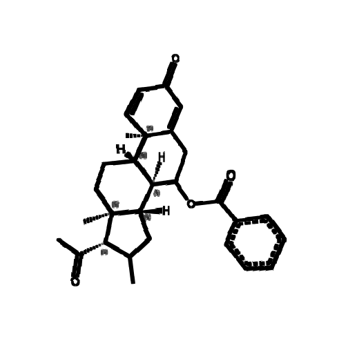 CC(=O)[C@H]1C(C)C[C@H]2[C@@H]3C(OC(=O)c4ccccc4)CC4=CC(=O)C=C[C@]4(C)[C@H]3CC[C@]12C